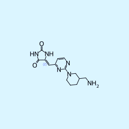 NCC1CCCN(c2nccc(/C=C3\NC(=O)NC3=O)n2)C1